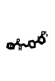 O=C(NCCN1CCC(c2cccc(C(F)(F)F)n2)CC1)c1cc2ccc1o2